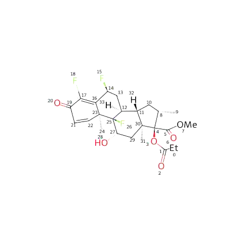 CCC(=O)O[C@]1(C(=O)OC)[C@@H](C)C[C@H]2[C@@H]3C[C@H](F)C4=C(F)C(=O)C=C[C@]4(C)[C@@]3(F)[C@@H](O)C[C@@]21C